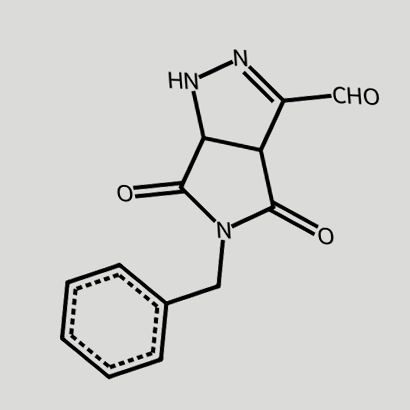 O=CC1=NNC2C(=O)N(Cc3ccccc3)C(=O)C12